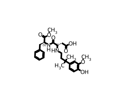 COC(=O)[C@H](Cc1ccccc1)NC(=O)[C@H](CC(=O)O)NCCC(C)(C)c1ccc(O)c(OC)c1